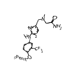 CCCCCOc1ccc(Nc2nc(CN(C)CC(N)=O)cs2)cc1C(F)(F)F